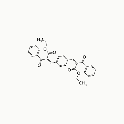 CCOC(=O)C(=Cc1ccc(C=C(C(=O)OCC)C(=O)c2ccccc2)cc1)C(=O)c1ccccc1